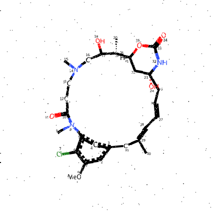 COc1cc2cc(c1Cl)N(C)C(=O)CCN(C)CC(O)[C@H](C)[C@@H]1C[C@](O)(C/C=C/C=C(\C)C2)NC(=O)O1